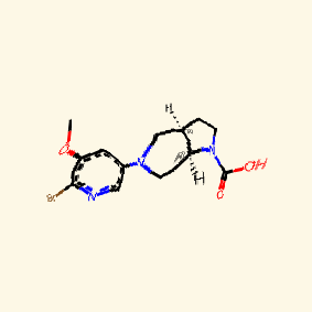 COc1cc(N2C[C@H]3CCN(C(=O)O)[C@H]3C2)cnc1Br